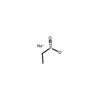 CC[PH](=O)[O-].[Na+]